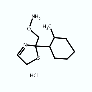 CC1CCCCC1C1(CON)N=CCS1.Cl